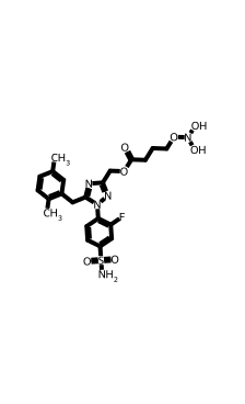 Cc1ccc(C)c(Cc2nc(COC(=O)CCCON(O)O)nn2-c2ccc(S(N)(=O)=O)cc2F)c1